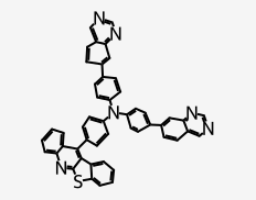 c1ccc2c(-c3ccc(N(c4ccc(-c5ccc6cncnc6c5)cc4)c4ccc(-c5ccc6cncnc6c5)cc4)cc3)c3c(nc2c1)sc1ccccc13